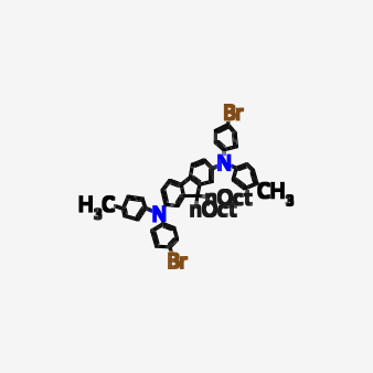 CCCCCCCCC1(CCCCCCCC)c2cc(N(c3ccc(C)cc3)c3ccc(Br)cc3)ccc2-c2ccc(N(c3ccc(C)cc3)c3ccc(Br)cc3)cc21